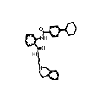 O=C(Nc1ccccc1C(=O)NCCN1CCc2ccccc2C1)c1ccc(C2CCCCC2)cc1